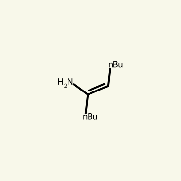 CCCCC=C(N)CCCC